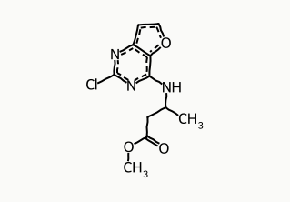 COC(=O)CC(C)Nc1nc(Cl)nc2ccoc12